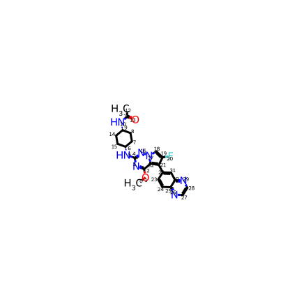 COc1nc(N[C@H]2CC[C@@H](NC(C)=O)CC2)nn2cc(F)c(-c3ccc4nccnc4c3)c12